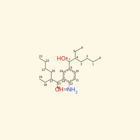 CCCCC(CC)C(O)c1ccc(N)c(C(O)C(CC)CCCC)c1